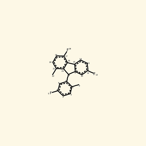 Cc1ccc(F)cc1C1c2cc(F)ccc2-c2c(F)ccc(C)c21